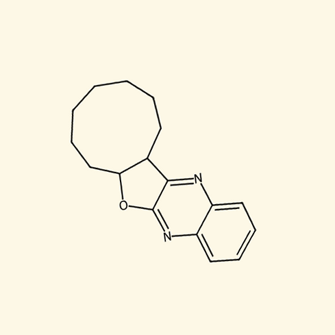 c1ccc2nc3c(nc2c1)OC1CCCCCCCC31